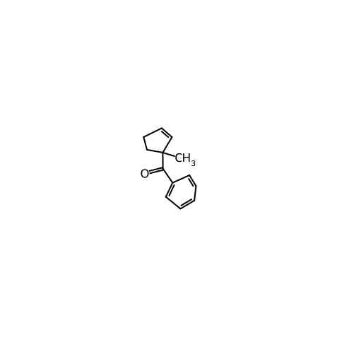 CC1(C(=O)c2ccccc2)C=CCC1